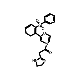 O=C(CC1=NCCN1)N1C=COC(C2=C(S(=O)(=O)c3ccccc3)C=CCC2)=C1